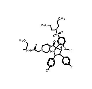 CCOc1ccc(S(=O)(=O)N(CCOC)CCOC)cc1C1(C(=O)N2CCN(CC(=O)NC(C)COC)CC2)NC(c2ccc(Cl)cc2)C(c2ccc(Cl)cc2)N1